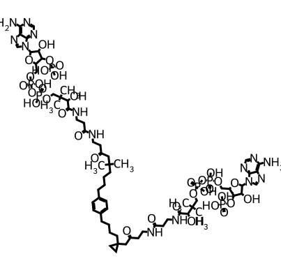 CC(C)(CCCCc1ccc(CCCCC2(CC(=O)CCNC(=O)CCNC(=O)C(O)C(C)(C)COP(=O)(O)OP(=O)(O)OCC3OC(n4cnc5c(N)ncnc54)C(O)C3OP(=O)(O)O)CC2)cc1)CC(=O)CCNC(=O)CCNC(=O)C(O)C(C)(C)COP(=O)(O)OP(=O)(O)OCC1OC(n2cnc3c(N)ncnc32)C(O)C1OP(=O)(O)O